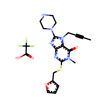 CC#CCn1c(N2CCNCC2)nc2nc(SCc3ccco3)n(C)c(=O)c21.O=C(O)C(F)(F)F